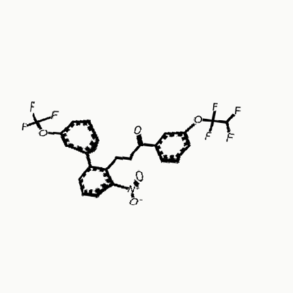 O=C(CCc1c(-c2cccc(OC(F)(F)F)c2)cccc1[N+](=O)[O-])c1cccc(OC(F)(F)C(F)F)c1